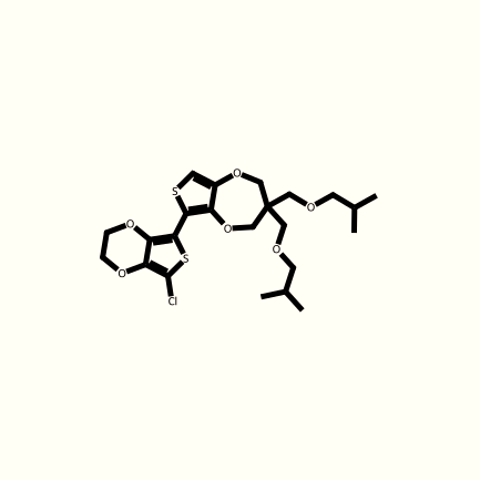 CC(C)COCC1(COCC(C)C)COc2csc(-c3sc(Cl)c4c3OCCO4)c2OC1